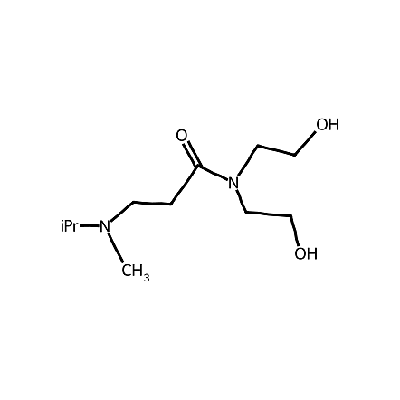 CC(C)N(C)CCC(=O)N(CCO)CCO